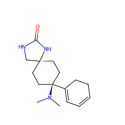 CN(C)[C@]1(C2=CC=CCC2)CC[C@]2(CC1)CNC(=O)N2